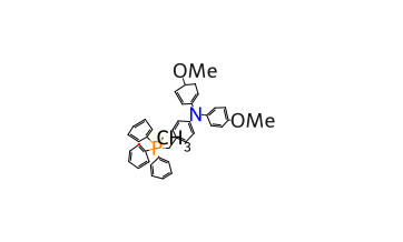 COc1ccc(N(C2=CCC(OC)C=C2)c2ccc(CP(C)(c3ccccc3)(c3ccccc3)c3ccccc3)cc2)cc1